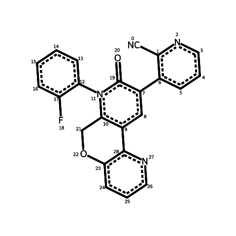 N#Cc1ncccc1-c1cc2c(n(-c3ccccc3F)c1=O)COc1cccnc1-2